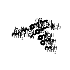 CC(C)C[C@H](N)C(=O)O.CC(C)C[C@H](N)C(=O)OC(=O)[C@@H](N)Cc1ccc(O)cc1.CC[C@H](C)[C@H](N)C(=O)O.CC[C@H](C)[C@H](N)C(=O)O.N=C(N)NCCC[C@H](N)C(=O)Oc1ccc(C[C@H](N)C(=O)O)cc1.N[C@@H](Cc1ccccc1)C(=O)O.N[C@@H](Cc1ccccc1)C(=O)O